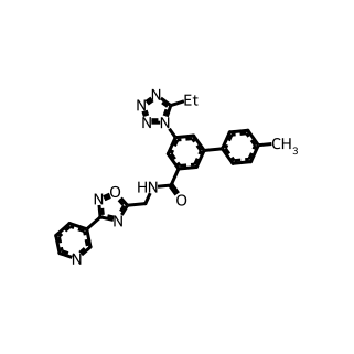 CCc1nnnn1-c1cc(C(=O)NCc2nc(-c3cccnc3)no2)cc(-c2ccc(C)cc2)c1